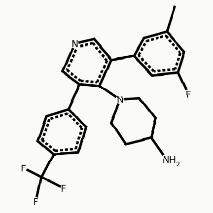 Cc1cc(F)cc(-c2cncc(-c3ccc(C(F)(F)F)cc3)c2N2CCC(N)CC2)c1